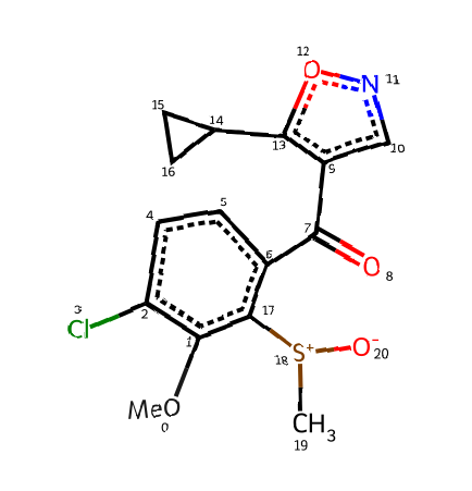 COc1c(Cl)ccc(C(=O)c2cnoc2C2CC2)c1[S+](C)[O-]